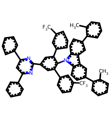 Cc1ccccc1-c1ccc2c(c1)c1cc(-c3ccccc3C)ccc1n2-c1c(-c2cccc(C(F)(F)F)c2)cc(-c2nc(-c3ccccc3)cc(-c3ccccc3)n2)cc1-c1cccc(C(F)(F)F)c1